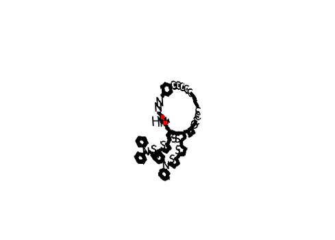 CC1=CC2CNC1c1cc(-c3ccc(-c4ccc(N(c5ccccc5)c5ccccc5)s4)s3)sc1C1SC(C3CCC(C4CCC(N(c5ccccc5)c5ccccc5)S4)S3)CC1C1CCC1OCCCC/C=C/CCCCOC1CCC(CC1)/N=N/2